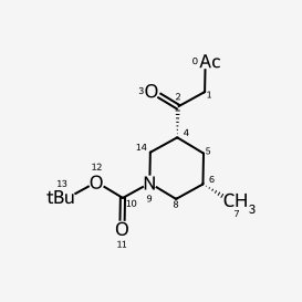 CC(=O)CC(=O)[C@@H]1C[C@H](C)CN(C(=O)OC(C)(C)C)C1